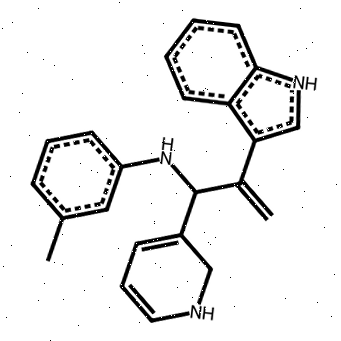 C=C(c1c[nH]c2ccccc12)C(Nc1cccc(C)c1)C1=CC=CNC1